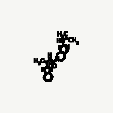 CC(C)Nc1ncc2c(n1)CN(C(=O)NC(C)c1nc3ccccc3[nH]1)CC2